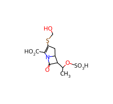 CC(OS(=O)(=O)O)C1C(=O)N2C(C(=O)O)=C(SCO)CC12